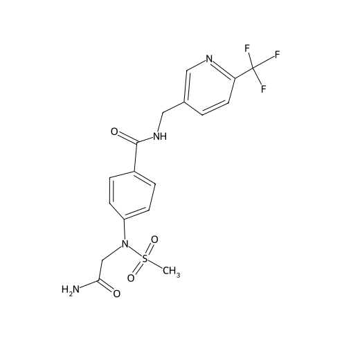 CS(=O)(=O)N(CC(N)=O)c1ccc(C(=O)NCc2ccc(C(F)(F)F)nc2)cc1